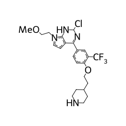 COCCn1ccc2c1NC(Cl)N=C2c1ccc(OCCC2CCNCC2)c(C(F)(F)F)c1